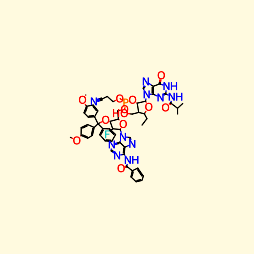 CCC1OC(n2cnc3c(=O)[nH]c(NC(=O)C(C)C)nc32)C(OP(OCCC#N)OCC2OC(n3cnc4c(NC(=O)c5ccccc5)ncnc43)C(F)C2OC(c2ccccc2)(c2ccc(OC)cc2)c2ccc(OC)cc2)C1CO